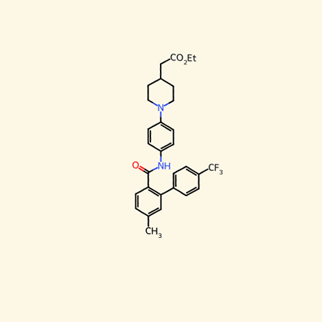 CCOC(=O)CC1CCN(c2ccc(NC(=O)c3ccc(C)cc3-c3ccc(C(F)(F)F)cc3)cc2)CC1